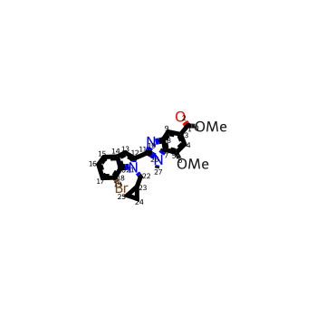 COC(=O)c1cc(OC)c2c(c1)nc(-c1cc3cccc(Br)c3n1CC1CC1)n2C